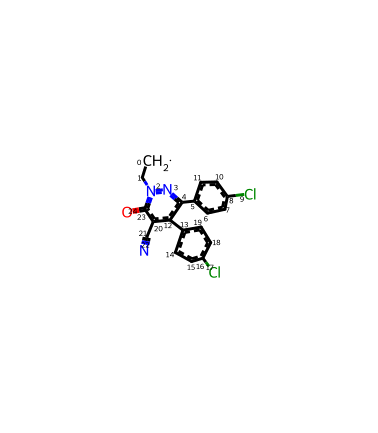 [CH2]Cn1nc(-c2ccc(Cl)cc2)c(-c2ccc(Cl)cc2)c(C#N)c1=O